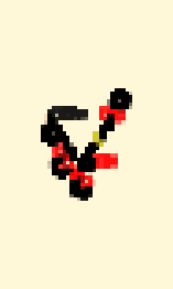 COCC1=CC(C[C@@H](/C=C/[C@@H]2[C@@H](CCSCCCC(=O)Oc3ccccc3)[C@@H](O)C[C@H]2OC2CCCCO2)OC2CCCCO2)CC=C1